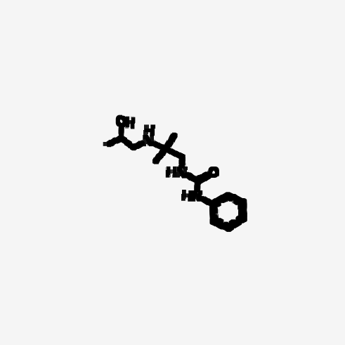 [CH2]C(O)CNC(C)(C)CNC(=O)Nc1ccccc1